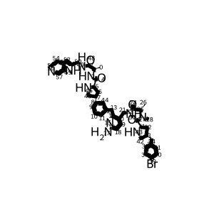 C[C@H](NC(=O)[C@H]1C[C@H](c2cccc(Cc3nc(N)ccc3CNC(=O)[C@H](C)N(C)C(=O)[C@H]3C[C@H](Cc4ccc(Br)cc4)CN3)c2)CN1)C(=O)NCc1cc2ccncc2[nH]1